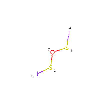 ISOSI